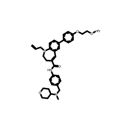 C=CCN1CCC(C(=O)Nc2ccc(CN(C)C3CCOCC3)cc2)=Cc2cc(-c3ccc(OCCOCCC)cc3)ccc21